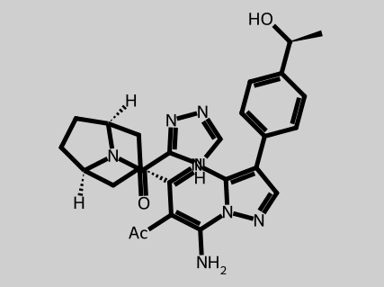 CC(=O)c1c([C@@H]2C[C@H]3CC[C@@H](C2)N3C(=O)c2nnc[nH]2)nc2c(-c3ccc([C@H](C)O)cc3)cnn2c1N